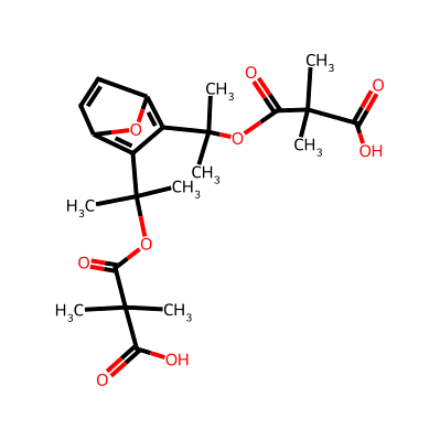 CC(C)(C(=O)O)C(=O)OC(C)(C)c1c(C(C)(C)OC(=O)C(C)(C)C(=O)O)c2ccc1o2